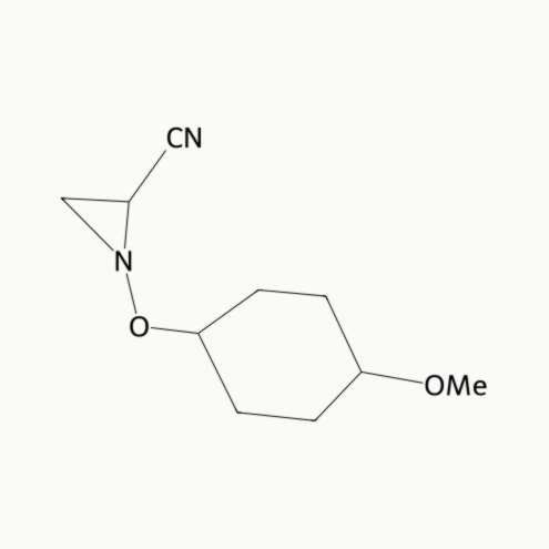 COC1CCC(ON2CC2C#N)CC1